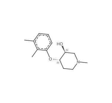 Cc1cccc(O[C@H]2CCN(C)C[C@@H]2O)c1C